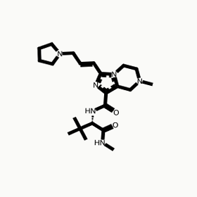 CNC(=O)[C@@H](NC(=O)c1nc(/C=C/CN2CCCC2)n2c1CN(C)CC2)C(C)(C)C